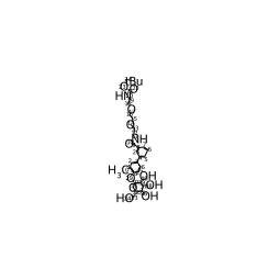 Cc1cc(-c2cccc(C(=O)NCCOCCOCCNC(=O)OC(C)(C)C)c2)ccc1O[C@H]1O[C@H](CO)[C@@H](O)[C@H](O)[C@@H]1O